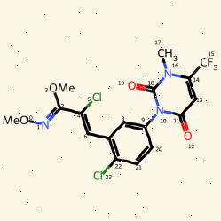 CON=C(OC)C(Cl)=Cc1cc(-n2c(=O)cc(C(F)(F)F)n(C)c2=O)ccc1Cl